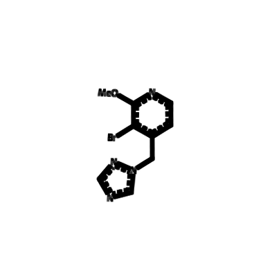 COc1nccc(Cn2cncn2)c1Br